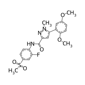 COc1ccc(OC)c(-c2cc(C(=O)Nc3ccc(S(C)(=O)=O)cc3F)nn2C)c1